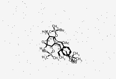 C=C[C@@H](CO[Si](C)(C)C(C)(C)C)[C@@H](OC(C)=O)[C@H](CO[Si](C)(C)C(C)(C)C)[C@H](O[Si](C)(C)C(C)(C)C)C1(C)O[C@@H]1[C@@H](C)COCc1ccc(OC)cc1